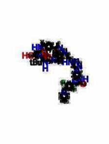 Cc1ncsc1-c1ccc([C@H](C)NC(=O)[C@@H]2C[C@@H](O)CN2C(=O)[C@@H](NC(=O)CN2C[C@H]3C[C@@H](N(C)CCCNc4cc(N5CCC6(CC5)CN(c5cc(F)c(CN7CCC(C)(C)CC7)cc5F)CC(=O)N6)ncn4)C[C@H]3C2)C(C)(C)C)cc1